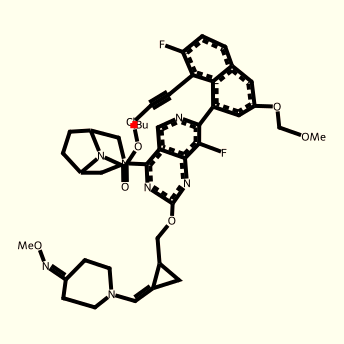 COCOc1cc(-c2ncc3c(N4CC5CCC(C4)N5C(=O)OC(C)(C)C)nc(OCC4CC4=CN4CCC(=NOC)CC4)nc3c2F)c2c(C#CCl)c(F)ccc2c1